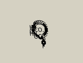 O=C1NCC(=O)N2[C@H]3C[C@@]3(COCCCCCCCCCCCCc3cc1ccc3Oc1ccc(F)cc1)C[C@H]2C(=O)O